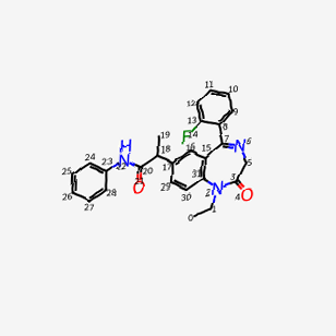 CCN1C(=O)CN=C(c2ccccc2F)c2cc(C(C)C(=O)Nc3ccccc3)ccc21